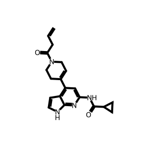 C=CCC(=O)N1CC=C(c2cc(NC(=O)C3CC3)nc3[nH]ccc23)CC1